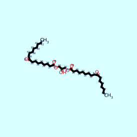 CCCCCCCC1OC1CCCCCCCC(=O)OCC(O)COC(=O)CCCCCCCC1OC1CCCCCCC